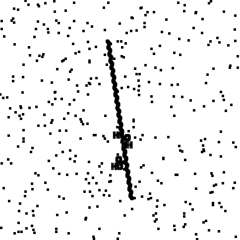 CCCCCCCCCCCCCCCCCCCCCCCCCCCCNC(=O)CNCCCCC(CCCCCCCCCCC)C(=O)O